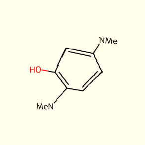 CNc1ccc(NC)c(O)c1